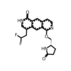 O=C1CC[C@@H](COc2nccc3cc4c(=O)[nH]cc(CC(F)F)c4cc23)N1